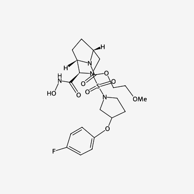 COCCOC(=O)N1[C@@H]2CC[C@H]1[C@H](C(=O)NO)N(S(=O)(=O)N1CCC(Oc3ccc(F)cc3)C1)C2